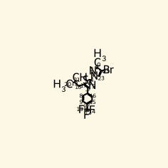 Cc1nn(-c2nc(-c3ccc(C(F)(F)F)cc3)c(CC(C)C)s2)cc1Br